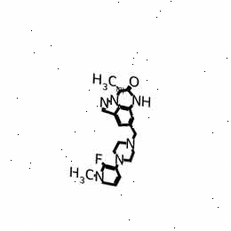 C[C@@H]1C(=O)Nc2cc(CN3CCN(C4=C(F)N(C)CC=C4)CC3)cc3cnn1c23